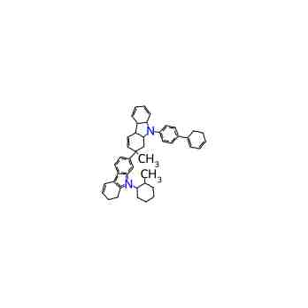 CC1CCCCC1n1c2c(c3ccc(C4(C)C=CC5C6C=CC=CC6N(c6ccc(C7=CC=CCC7)cc6)C5C4)cc31)C=CCC2